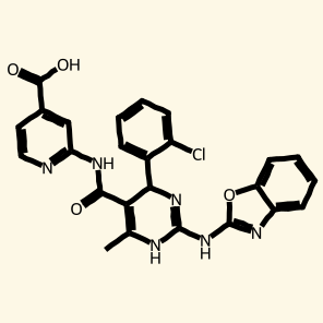 CC1=C(C(=O)Nc2cc(C(=O)O)ccn2)C(c2ccccc2Cl)N=C(Nc2nc3ccccc3o2)N1